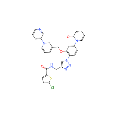 O=C(NCc1cn(-c2ccc(-n3ccccc3=O)cc2OCC2=CC=CN(c3cccnc3)C2)nn1)c1ccc(Cl)s1